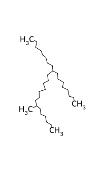 CCCCCCCCC(CCCCCCCC)CCCCCCCC(C)CCCCCC